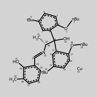 CCCCOc1ccc(C(C)(C)C)cc1C(O)(c1cc(C(C)(C)C)ccc1OCCCC)[C@@H](C)N=Cc1cccc(C)c1O.[Cu]